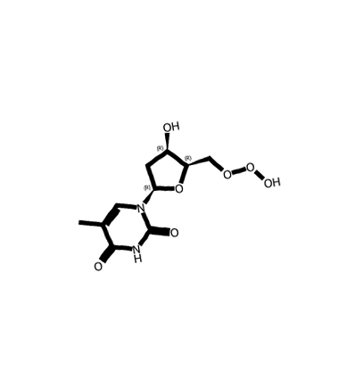 Cc1cn([C@H]2C[C@@H](O)[C@@H](COOO)O2)c(=O)[nH]c1=O